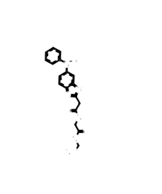 CCCN(c1ccccc1)c1ccc2sc(CC(=O)NCC(=O)NCC#N)nc2c1